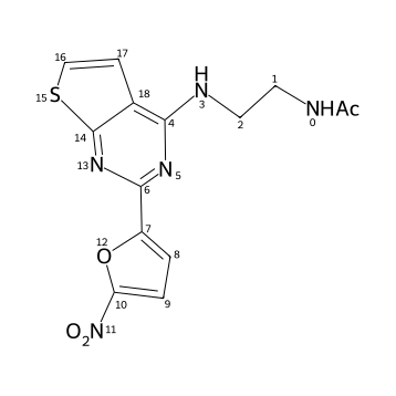 CC(=O)NCCNc1nc(-c2ccc([N+](=O)[O-])o2)nc2sccc12